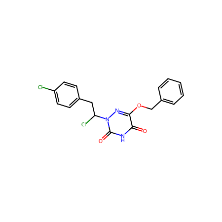 O=c1[nH]c(=O)n(C(Cl)Cc2ccc(Cl)cc2)nc1OCc1ccccc1